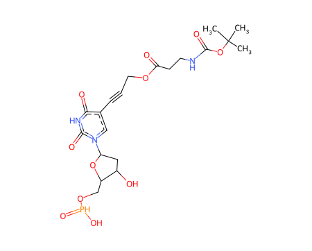 CC(C)(C)OC(=O)NCCC(=O)OCC#Cc1cn(C2CC(O)C(CO[PH](=O)O)O2)c(=O)[nH]c1=O